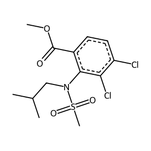 COC(=O)c1ccc(Cl)c(Cl)c1N(CC(C)C)S(C)(=O)=O